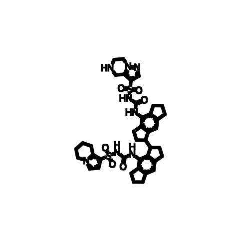 O=C(Nc1c2c(cc3c1C(C1CCc4c1cc1c(c4NC(=O)NS(=O)(=O)c4cnn5c4CNCC5)CCC1)CC3)CCC2)NS(=O)(=O)c1ccn2c1CCCC2